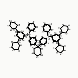 c1ccc(N(c2ccc(C3(c4ccc(N(c5ccccc5)c5cc(C6CCCCC6)cc(C6CCCCC6)c5)cc4)CCCCC3)cc2)c2cc(C3CCCCC3)cc(C3CCCCC3)c2)cc1